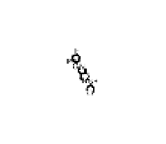 Fc1ccc(Oc2cc3cnc(NC4CCOCC4)nc3cn2)c(F)c1